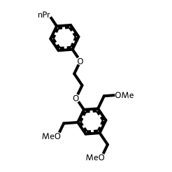 CCCc1ccc(OCCOc2c(COC)cc(COC)cc2COC)cc1